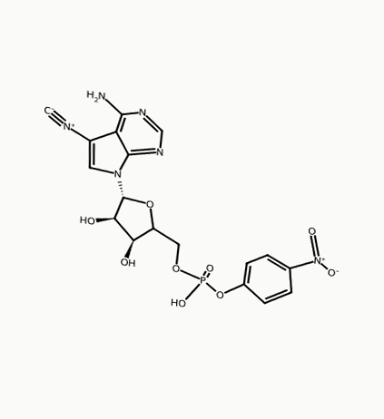 [C-]#[N+]c1cn([C@@H]2OC(COP(=O)(O)Oc3ccc([N+](=O)[O-])cc3)[C@@H](O)[C@H]2O)c2ncnc(N)c12